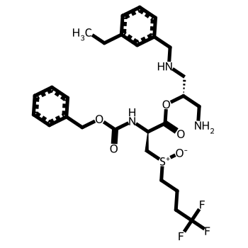 CCc1cccc(CNC[C@H](CN)OC(=O)[C@@H](C[S+]([O-])CCCC(F)(F)F)NC(=O)OCc2ccccc2)c1